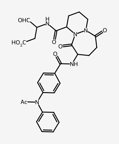 CC(=O)N(c1ccccc1)c1ccc(C(=O)NC2CCC(=O)N3CCCC(C(=O)NC(C=O)CC(=O)O)N3C2=O)cc1